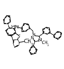 CC1C=CC=C2c3ccc(-c4ccccc4)c(Nc4ccc(CN5N=C(c6ccccc6)N(C)C5c5cccc(-c6ccccc6)c5)cc4)c3SC21